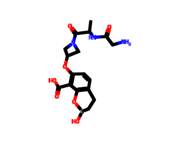 CC(NC(=O)CN)C(=O)N1CC(Oc2ccc3c(c2C(=O)O)OB(O)CC3)C1